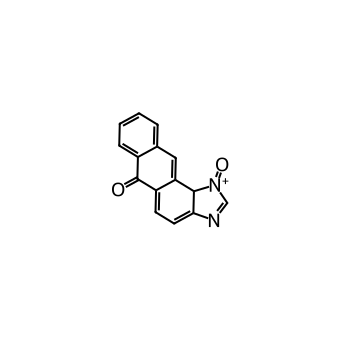 O=C1C2=CC=C3N=C[N+](=O)C3C2=Cc2ccccc21